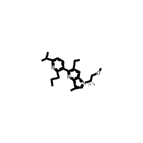 CCCc1nc(C(C)C)ccc1-c1nc2c(C)cn([C@@H](C)COC)c2cc1CC